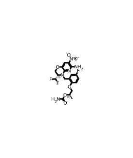 C[C@H](COc1ccc(F)cc1CN1c2nc(N)c([N+](=O)[O-])cc2OC[C@H]1C(F)F)OC(N)=O